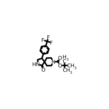 CC(C)(C)OC(=O)N1CCC2(CC1)C(=O)NCC2c1ccc(C(F)(F)F)cc1